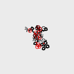 [3H]Oc1ccccc1CCC[Si](C)(O[Si](C)(C)O[Si](C)(CCCc1ccccc1OC(=O)Oc1cc(C2(c3ccc(C)c(OC)c3)c3ccccc3-c3ccccc32)ccc1C)O[Si](C)(C)C)O[Si](C)(C)O[Si](C)(CCCc1ccccc1OC(C)=O)O[Si](C)(C)O[Si](C)(C)C